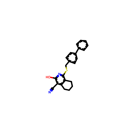 N#Cc1c(O)nc(SCc2ccc(-c3ccccc3)cc2)c2c1CCCC2